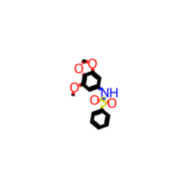 COc1cc(NS(=O)(=O)c2ccccc2)cc2c1OCO2